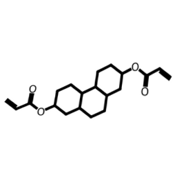 C=CC(=O)OC1CCC2C(CCC3CC(OC(=O)C=C)CCC32)C1